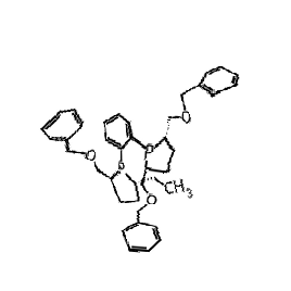 CC[C@@H]1CC[C@@H](COCc2ccccc2)P1c1ccccc1P1[C@H](COCc2ccccc2)CC[C@H]1COCc1ccccc1